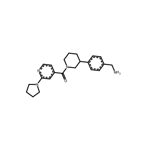 NCc1ccc(C2CCCN(C(=O)c3ccnc(N4CCCC4)c3)C2)cc1